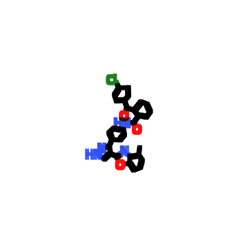 Cc1cccc2oc(-c3c[nH]nc3-c3ccc(NC(=O)c4ccccc4C(=O)c4ccc(Cl)cc4)cc3)nc12